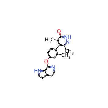 Cc1cc(Oc2nccc3cc[nH]c23)ccc1-c1c(C)n[nH]c(=O)c1C